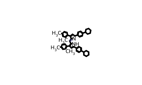 Cc1ccc(C2=CC(c3ccc(C4CCCCC4)cc3)=N/C2=C\c2[nH]c(-c3ccc(C4CCCCC4)cc3)cc2-c2ccc(C)cc2C)c(C)c1